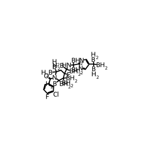 BC(B)(B)c1cnc(C(B)(B)NC(B)(B)C2(F)CC(B)(B)N(C(=O)c3ccc(F)c(Cl)c3)C(B)(B)C2(B)B)nc1